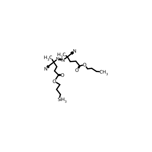 CCCCOC(=O)CCC(C)(C#N)N=NC(C)(C#N)CCC(=O)OCCC[SiH3]